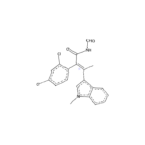 C/C(=C(\C(=O)NC=O)c1ccc(Cl)cc1Cl)c1cn(C)c2ccccc12